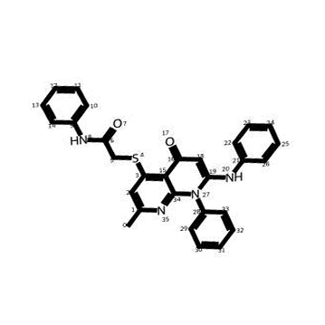 Cc1cc(SCC(=O)Nc2ccccc2)c2c(=O)cc(Nc3ccccc3)n(-c3ccccc3)c2n1